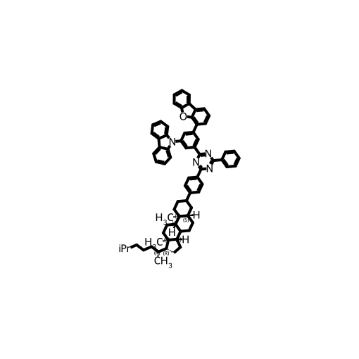 CC(C)CCC[C@@H](C)[C@H]1CC[C@H]2C3CC[C@H]4CC(c5ccc(-c6nc(-c7ccccc7)nc(-c7cc(-c8cccc9c8oc8ccccc89)cc(-n8c9ccccc9c9ccccc98)c7)n6)cc5)CC[C@]4(C)[C@H]3CC[C@]12C